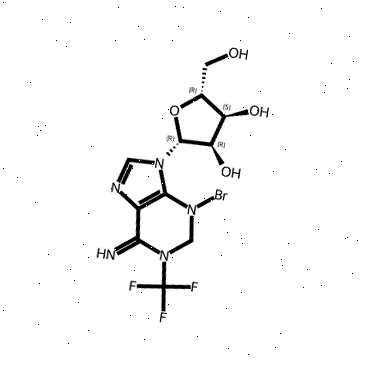 N=C1c2ncn([C@@H]3O[C@H](CO)[C@@H](O)[C@H]3O)c2N(Br)CN1C(F)(F)F